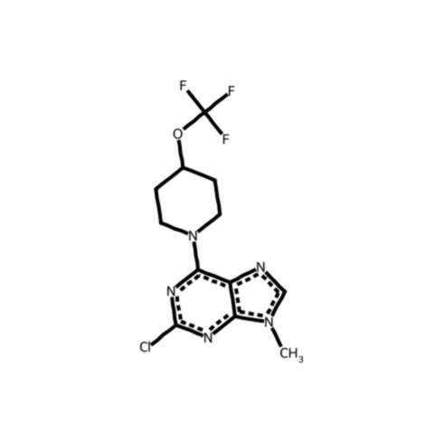 Cn1cnc2c(N3CCC(OC(F)(F)F)CC3)nc(Cl)nc21